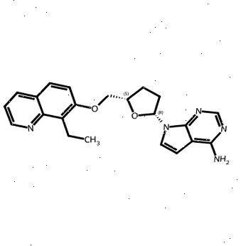 CCc1c(OC[C@@H]2CC[C@H](n3ccc4c(N)ncnc43)O2)ccc2cccnc12